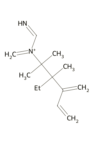 C=CC(=C)C(C)(CC)C(C)(C)[N+](=C)C=N